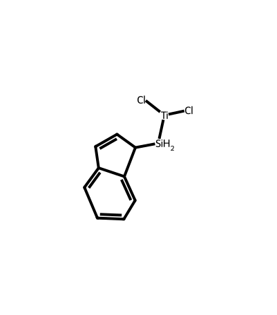 [Cl][Ti]([Cl])[SiH2]C1C=Cc2ccccc21